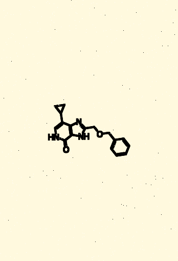 O=c1[nH]cc(C2CC2)c2nc(COCc3ccccc3)[nH]c12